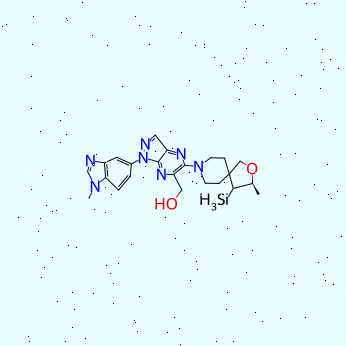 C[C@@H]1OCC2(CCN(c3nc4cnn(-c5ccc6c(c5)ncn6C)c4nc3CO)CC2)C1[SiH3]